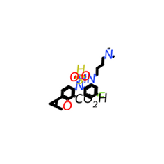 CN(C)CCCCNc1cc(F)ccc1N(c1ccc2c(c1C(=O)O)OCC1CC21)[SH](=O)=O